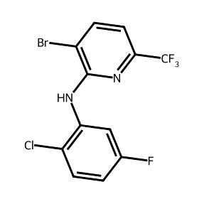 Fc1ccc(Cl)c(Nc2nc(C(F)(F)F)ccc2Br)c1